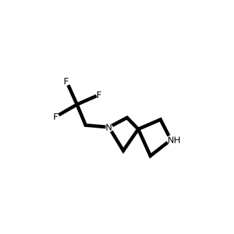 FC(F)(F)CN1CC2(CNC2)C1